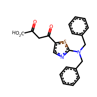 O=C(O)C(=O)CC(=O)c1cnc(N(Cc2ccccc2)Cc2ccccc2)s1